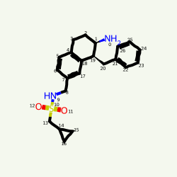 N[C@@H]1CCc2ccc(CNS(=O)(=O)CC3CC3)cc2[C@@H]1Cc1ccccc1